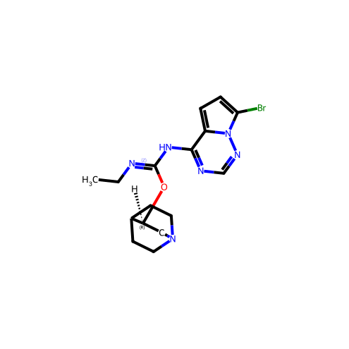 CC/N=C(/Nc1ncnn2c(Br)ccc12)O[C@H]1CN2CCC1CC2